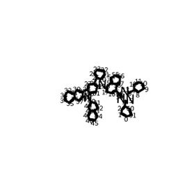 c1ccc(-c2nc(-c3ccccc3)nc(-c3ccc(-n4c5ccccc5c5cc6c7cc8ccccc8cc7n(-c7ccc8ccccc8c7)c6cc54)c4ccccc34)n2)cc1